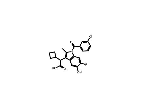 Cc1c(C(C(=O)O)C2CCC2)c2cc(O)c(F)cc2n1C(=O)c1cccc(Cl)c1